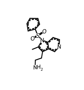 Cc1c(CCN)c2cnccc2n1S(=O)(=O)c1ccccc1